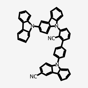 N#Cc1ccc2c(c1)c1ccccc1n2-c1ccc(-c2cccc(-n3c4ccccc4c4cc(-n5c6ccccc6c6ccccc65)ccc43)c2C#N)cc1